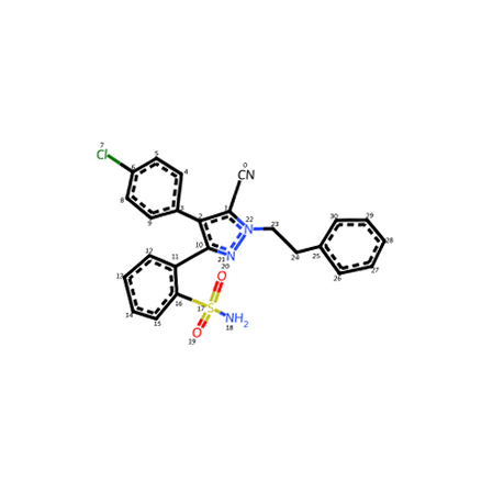 N#Cc1c(-c2ccc(Cl)cc2)c(-c2ccccc2S(N)(=O)=O)nn1CCc1ccccc1